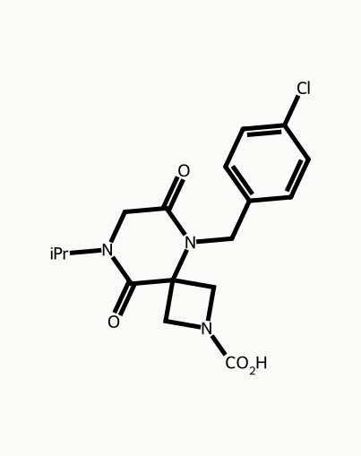 CC(C)N1CC(=O)N(Cc2ccc(Cl)cc2)C2(CN(C(=O)O)C2)C1=O